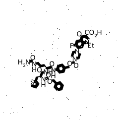 CCn1cc(C(=O)O)c(=O)c2cc(F)c(N3CCN(C(=O)OCc4ccc(NC(=O)[C@H](CCCNC(N)=O)NC(=O)[C@H](Cc5cccs5)NC(=O)OCc5ccccc5)cc4)CC3)cc21